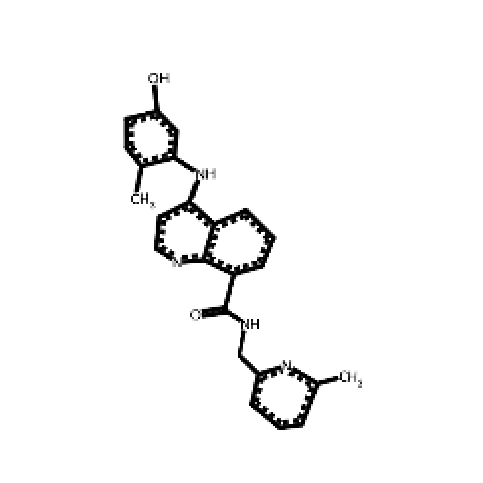 Cc1cccc(CNC(=O)c2cccc3c(Nc4cc(O)ccc4C)ccnc23)n1